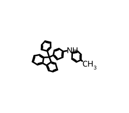 Cc1ccc(Nc2ccc(C3(c4ccccc4)c4ccccc4-c4ccccc43)cc2)cc1